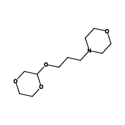 C(COC1COCCO1)CN1CCOCC1